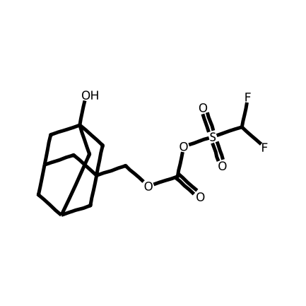 O=C(OCC12CC3CC(CC(O)(C3)C1)C2)OS(=O)(=O)C(F)F